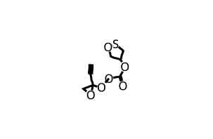 C#CC1(OOC(=O)OC2COSC2)CO1